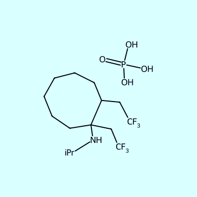 CC(C)NC1(CC(F)(F)F)CCCCCCC1CC(F)(F)F.O=P(O)(O)O